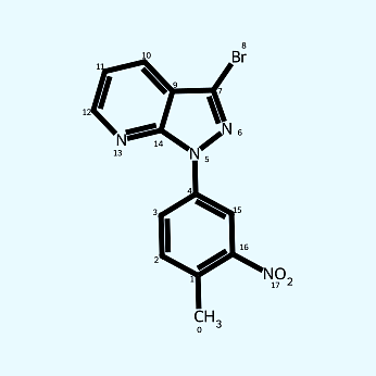 Cc1ccc(-n2nc(Br)c3cccnc32)cc1[N+](=O)[O-]